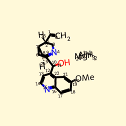 C=C[C@@H]1CN2CCC1C[C@@H]2C(O)c1ccnc2ccc(OC)cc12.[AlH3].[MgH2]